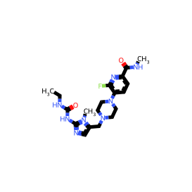 CCNC(=O)Nc1ncc(CN2CCN(c3ccc(C(=O)NC)nc3F)CC2)n1C